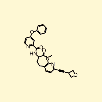 CN1C(=O)C(NC(=O)c2cc(Oc3ccccc3)ccn2)CCc2ccc(C#CC3COC3)nc21